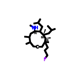 CN[C@H]1CC(C)C(C)CCCC(C)(CCCI)[C@@H](C)[C@](C)(CC(C)C)C1CC(C)C